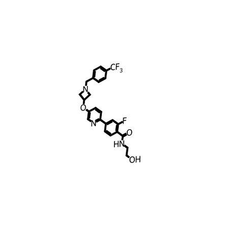 O=C(NCCO)c1ccc(-c2ccc(OC3CN(Cc4ccc(C(F)(F)F)cc4)C3)cn2)cc1F